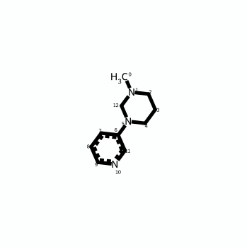 CN1CCCN(c2cccnc2)C1